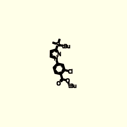 CC(C)(C)OC(=O)c1ccc(-n2ccc([Si](C)(C)C(C)(C)C)n2)cc1Cl